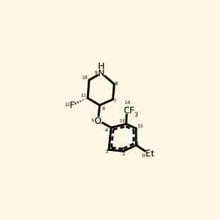 CCc1ccc(OC2CCNC[C@H]2F)c(C(F)(F)F)c1